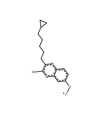 Oc1nc2cc(OC(F)(F)F)ccc2nc1CCCCCC1CC1